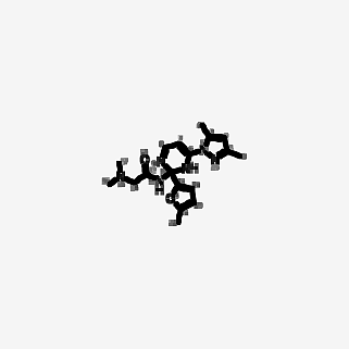 Cc1cc(C)n(C2=CC=NC(NC(=O)CN(C)C)(c3ccc(C)o3)N2)n1